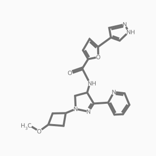 COC1CC(N2CC(NC(=O)c3ccc(-c4cn[nH]c4)o3)C(c3ccccn3)=N2)C1